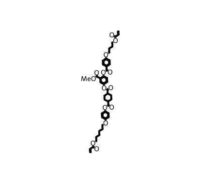 C=CC(=O)OCCCCCCOc1ccc(OC(=O)C2CCC(C(=O)Oc3ccc(OC(=O)c4ccc(OCCCCOC(=O)C=C)cc4)c(C(=O)OC)c3)CC2)cc1